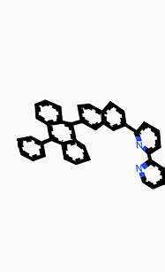 Cc1cccnc1-c1cccc(-c2ccc3ccc(-c4c5ccccc5c(-c5ccccc5)c5ccccc45)cc3c2)n1